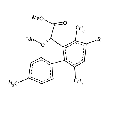 COC(=O)[C@@H](OC(C)(C)C)c1c(C)c(Br)cc(C)c1-c1ccc(C)cc1